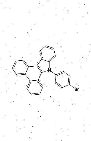 Brc1ccc(-n2c3ccccc3c3c4ccccc4c4ccccc4c32)cc1